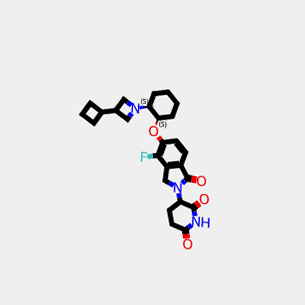 O=C1CCC(N2Cc3c(ccc(O[C@H]4CCCC[C@@H]4N4CC(C5CCC5)C4)c3F)C2=O)C(=O)N1